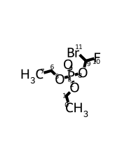 CCOP(=O)(OCC)OC(F)Br